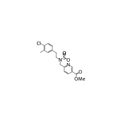 COC(=O)c1ccc(CN(CCc2ccc(Cl)c(C)c2)[SH](=O)=O)nc1